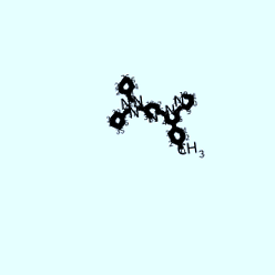 Cc1ccc(-c2cc(-c3ccccn3)nc(-c3ccc(-c4nc(-c5ccccc5)nc(-c5ccccc5)n4)cn3)c2)cc1